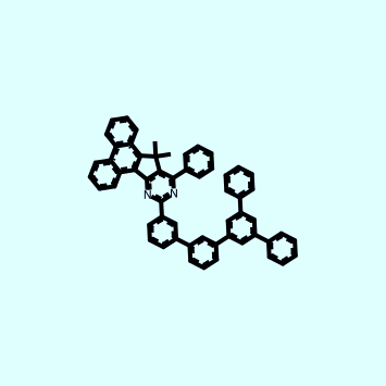 CC1(C)c2c(-c3ccccc3)nc(-c3cccc(-c4cccc(-c5cc(-c6ccccc6)cc(-c6ccccc6)c5)c4)c3)nc2-c2c1c1ccccc1c1ccccc21